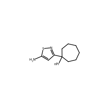 CCCC1(c2cc(N)sn2)CCCCCC1